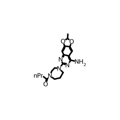 CCCC(=O)N1CCCN(c2nc(N)c3cc4c(cc3n2)OC(C)O4)CC1